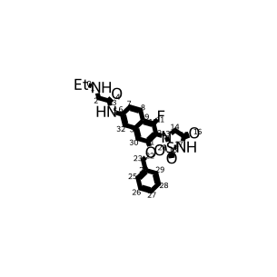 CCNCC(=O)Nc1ccc2c(F)c(N3CC(=O)NS3(=O)=O)c(OCc3ccccc3)cc2c1